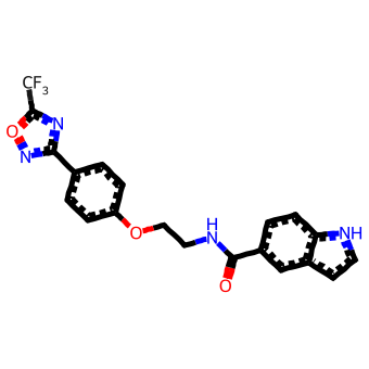 O=C(NCCOc1ccc(-c2noc(C(F)(F)F)n2)cc1)c1ccc2[nH]ccc2c1